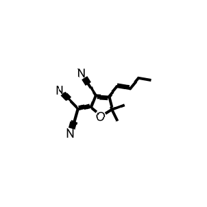 CC/C=C/C1=C(C#N)C(=C(C#N)C#N)OC1(C)C